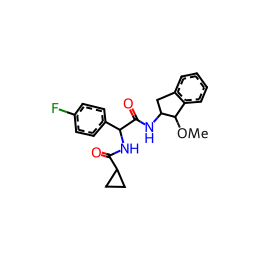 COC1c2ccccc2CC1NC(=O)C(NC(=O)C1CC1)c1ccc(F)cc1